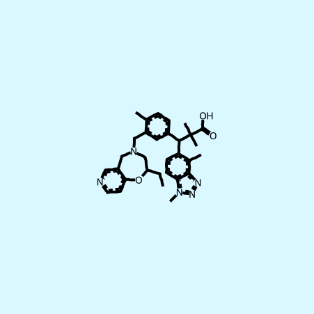 CCC1CN(Cc2cc(C(c3ccc4c(nnn4C)c3C)C(C)(C)C(=O)O)ccc2C)Cc2cnccc2O1